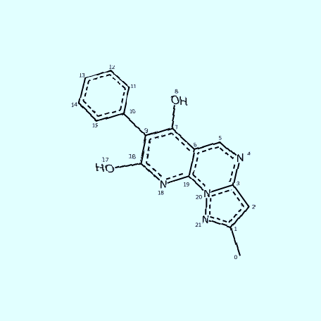 Cc1cc2ncc3c(O)c(-c4ccccc4)c(O)nc3n2n1